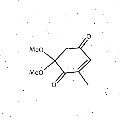 COC1(OC)CC(=O)C=C(C)C1=O